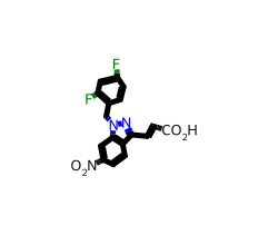 O=C(O)C=Cc1nn(Cc2ccc(F)cc2F)c2cc([N+](=O)[O-])ccc12